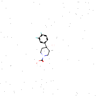 CC(C)(C)OC(=O)N1CC[C@](O)(c2ccc(F)c(F)c2)[C@@H](C(=O)O)C1